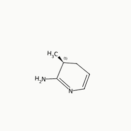 C[C@H]1CC=CN=C1N